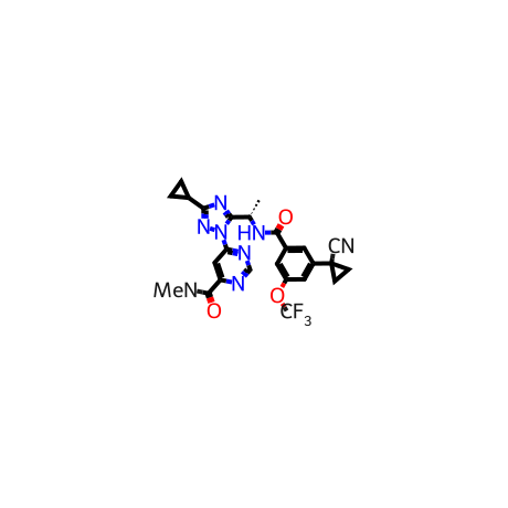 CNC(=O)c1cc(-n2nc(C3CC3)nc2[C@H](C)NC(=O)c2cc(OC(F)(F)F)cc(C3(C#N)CC3)c2)ncn1